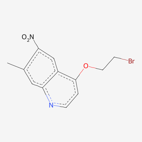 Cc1cc2nccc(OCCBr)c2cc1[N+](=O)[O-]